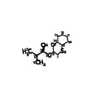 C=C(C)C(=O)OC1CSC2CCCCC2O1